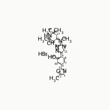 Br.Cc1cnc(-c2ccc(-c3cnc(N(C)C4CC(C)(C)NC(C)(C)C4)nn3)c(O)c2)o1